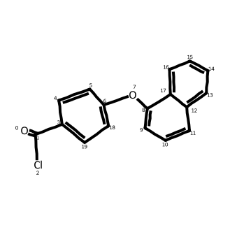 O=C(Cl)c1ccc(Oc2cccc3ccccc23)cc1